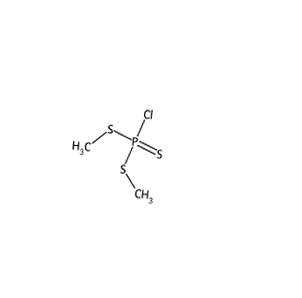 CSP(=S)(Cl)SC